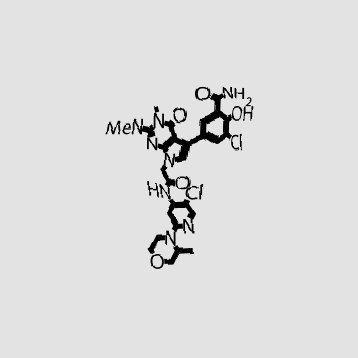 CNc1nc2c(c(-c3cc(Cl)c(O)c(C(N)=O)c3)cn2CC(=O)Nc2cc(N3CCOCC3C)ncc2Cl)c(=O)n1C